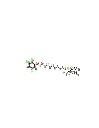 COC(C)(C)SCCCCCCCCCCCOc1c(F)c(F)c(F)c(F)c1F